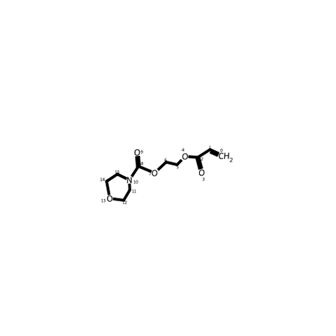 C=CC(=O)OCCOC(=O)N1CCOCC1